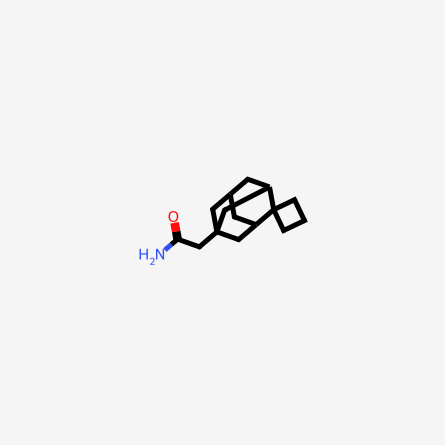 NC(=O)CC12CC3CC(C1)C1(CCC1)C(C3)C2